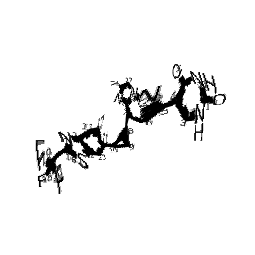 O=c1[nH]cc(-c2cc([C@H]3CC3c3ccc4nc(C(F)(F)F)sc4c3)c3nccn3n2)c(=O)[nH]1